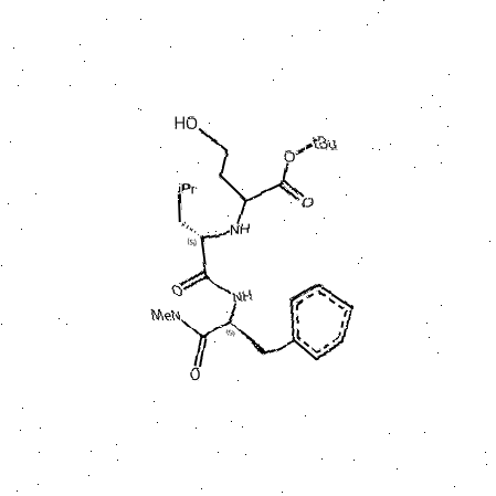 CNC(=O)[C@H](Cc1ccccc1)NC(=O)[C@H](CC(C)C)NC(CCO)C(=O)OC(C)(C)C